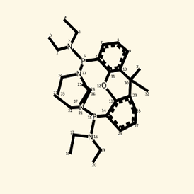 CCN(CC)P(c1cccc2c1Oc1c(P(N(CC)CC)N(CC)CC)cccc1C2(C)C)N(CC)CC